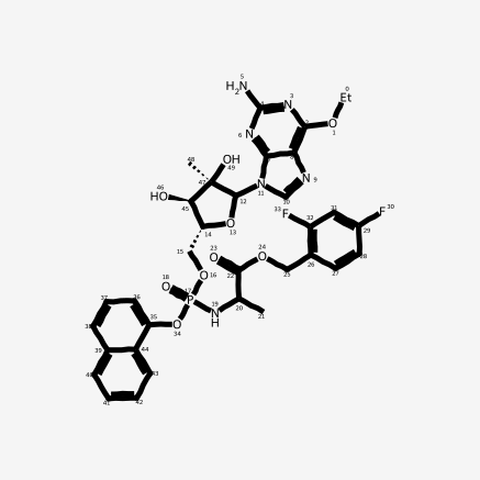 CCOc1nc(N)nc2c1ncn2C1O[C@H](COP(=O)(NC(C)C(=O)OCc2ccc(F)cc2F)Oc2cccc3ccccc23)[C@@H](O)[C@@]1(C)O